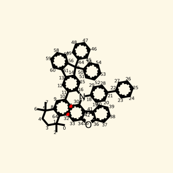 CC1(C)CCC(C)(C)c2cc(-c3cc4c(cc3N(c3ccc(-c5ccccc5)cc3)c3cccc5oc6ccccc6c35)C(c3ccccc3)(c3ccccc3)c3ccccc3-4)ccc21